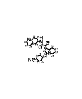 N#Cc1ccc(Cc2cc(C(=O)C(=O)Nc3ccc4ncccc4c3)c3ccccn23)cc1